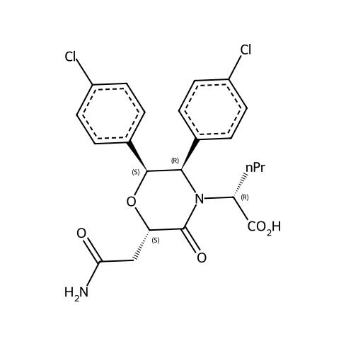 CCC[C@H](C(=O)O)N1C(=O)[C@H](CC(N)=O)O[C@@H](c2ccc(Cl)cc2)[C@H]1c1ccc(Cl)cc1